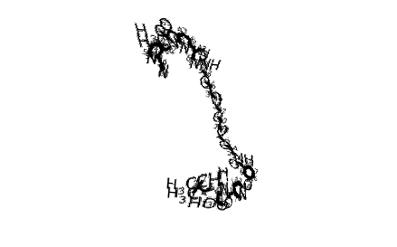 CC(C)(C)CC[C@H](NC(=O)c1ccc(Oc2cccc(C(=O)NCCOCCOCCOCCOCCOCCNc3ncc(-c4ccc5c(n4)N(Cc4cccnc4C#N)C(C)(C)C5=O)cn3)c2)nc1)C(=O)O